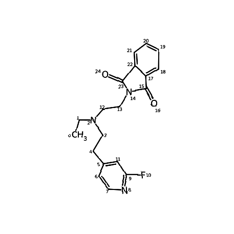 CCN(CCc1ccnc(F)c1)CCN1C(=O)c2ccccc2C1=O